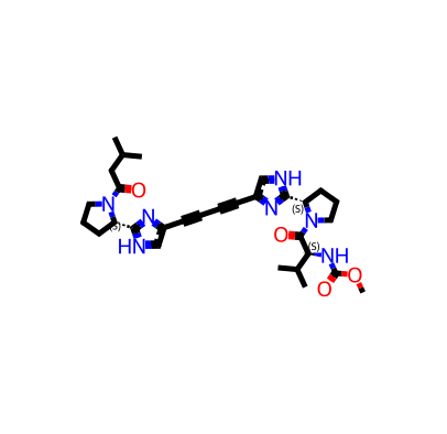 COC(=O)N[C@H](C(=O)N1CCC[C@H]1c1nc(C#CC#Cc2c[nH]c([C@@H]3CCCN3C(=O)CC(C)C)n2)c[nH]1)C(C)C